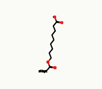 CCCCCCCC(=O)OCCCCCCCCC([O])=O